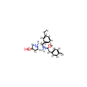 CCc1cccc([C@@H](CN2CC[C@H](O)C2)N(C)C(=O)Cc2ccc(C)cc2)c1